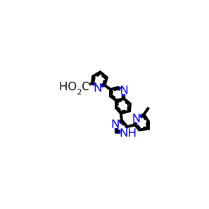 Cc1cccc(-c2[nH]cnc2-c2ccc3ncc(-c4cccc(C(=O)O)n4)cc3c2)n1